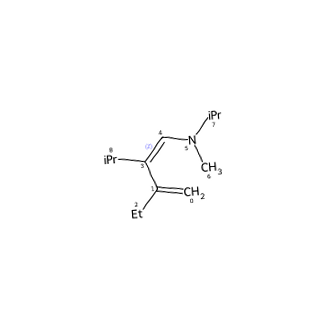 C=C(CC)/C(=C\N(C)C(C)C)C(C)C